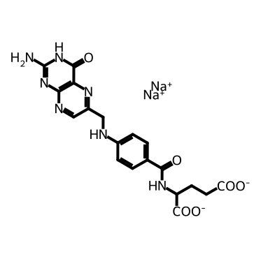 Nc1nc2ncc(CNc3ccc(C(=O)NC(CCC(=O)[O-])C(=O)[O-])cc3)nc2c(=O)[nH]1.[Na+].[Na+]